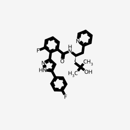 CC(C)(O)C[C@@H](Cc1ccccn1)NC(=O)c1cccc(F)c1-c1cc(-c2ccc(F)cc2)[nH]n1